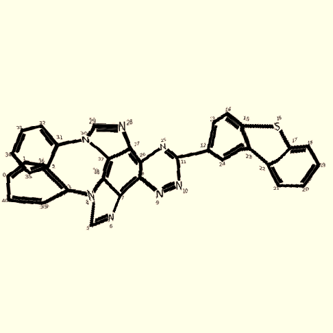 c1ccc(-n2cnc3c4nnc(-c5ccc6sc7ccccc7c6c5)nc4c4ncn(-c5ccccc5)c4c32)cc1